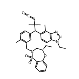 CC[C@@H]1CN(Cc2cc(C(c3ccc4c(nnn4CC)c3C)C(C)(C)N=C=O)ccc2C)S(=O)(=O)c2ccccc2O1